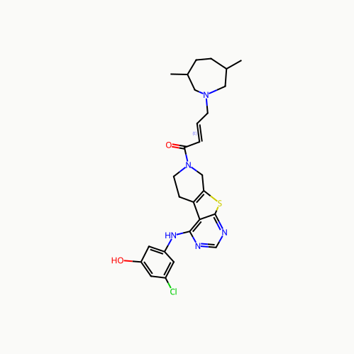 CC1CCC(C)CN(C/C=C/C(=O)N2CCc3c(sc4ncnc(Nc5cc(O)cc(Cl)c5)c34)C2)C1